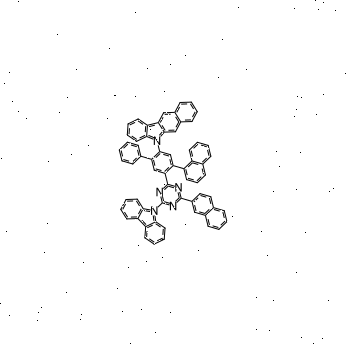 c1ccc(-c2cc(-c3nc(-c4ccc5ccccc5c4)nc(-n4c5ccccc5c5ccccc54)n3)c(-c3cccc4ccccc34)cc2-n2c3ccccc3c3cc4ccccc4cc32)cc1